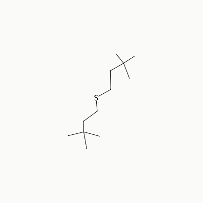 CC(C)(C)CCSCCC(C)(C)C